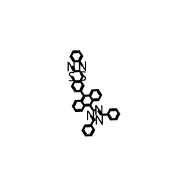 c1ccc(-c2nc(-c3ccccc3)nc(-c3c4ccccc4c(-c4ccc5c(c4)Sc4nc6ccccc6nc4S5)c4ccccc34)n2)cc1